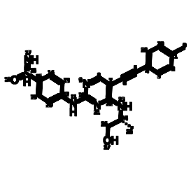 Cc1ccc(C#Cc2cnc(Nc3ccc([SH](=N)=O)cc3)nc2N[C@H](C)CO)cc1